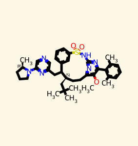 COc1c2nc(nc1-c1c(C)cccc1C)NS(=O)(=O)c1cccc(c1)C(Cc1cncc(N3CCC[C@H]3C)n1)[C@H](CC(C)(C)C)CC2